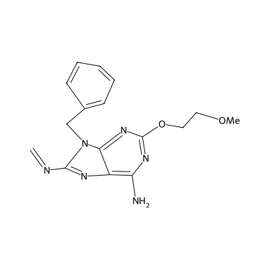 C=Nc1nc2c(N)nc(OCCOC)nc2n1Cc1ccccc1